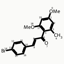 COc1cc(C)c(C(=O)/C=C/c2ccc(Br)cc2)c(OC)c1